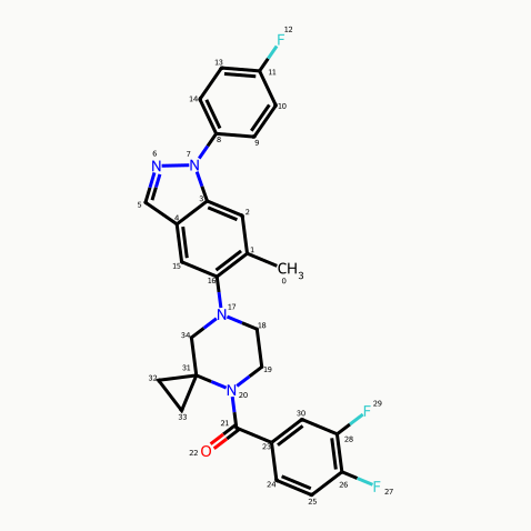 Cc1cc2c(cnn2-c2ccc(F)cc2)cc1N1CCN(C(=O)c2ccc(F)c(F)c2)C2(CC2)C1